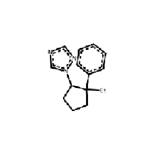 CCC1(c2ccccc2)CCCC1n1cncn1